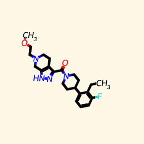 CCc1c(F)cccc1C1CCN(C(=O)c2n[nH]c3c2CCN(CCOC)C3)CC1